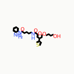 Nc1ccccc1NC(=O)CCCCNC(=O)C1=CC(c2ccsc2)CC(OCCCCO)O1